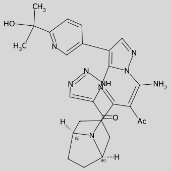 CC(=O)c1c(C2C[C@H]3CC[C@@H](C2)N3C(=O)c2cnn[nH]2)nc2c(-c3ccc(C(C)(C)O)nc3)cnn2c1N